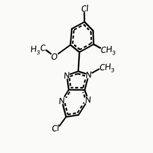 COc1cc(Cl)cc(C)c1-c1nc2nc(Cl)cnc2n1C